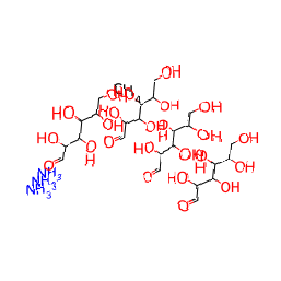 C.N.N.N.O=CC(O)C(O)C(O)C(O)CO.O=CC(O)C(O)C(O)C(O)CO.O=CC(O)C(O)C(O)C(O)CO.O=CC(O)C(O)C(O)C(O)CO